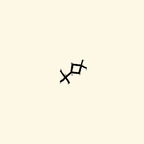 CC1(C)CC(C(C)(C)C)C1